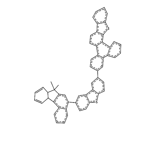 CC1(C)c2cc(-c3ccc4sc5ccc(-c6ccc7c(c6)c6ccccc6c6c7ccc7c8ccccc8sc76)cc5c4c3)c3ccccc3c2C2C=CC=CC21